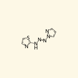 c1cnn(N=NNc2nccs2)c1